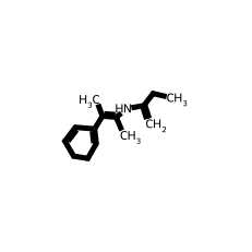 C=C(CC)N/C(C)=C(\C)C1=CCCC=C1